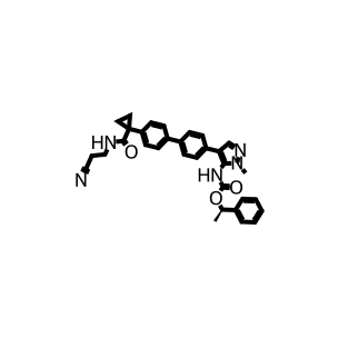 C[C@@H](OC(=O)Nc1c(-c2ccc(-c3ccc(C4(C(=O)NCCC#N)CC4)cc3)cc2)cnn1C)c1ccccc1